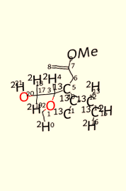 [2H]COC([2H])([13C](CC(=C)OC)=[13C]([13CH3])[13C]([2H])=[13C]([2H])[2H])C([2H])([2H])O[2H]